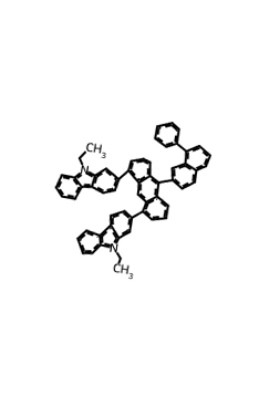 CCn1c2ccccc2c2ccc(-c3cccc4c(-c5ccc6cccc(-c7ccccc7)c6c5)c5cccc(-c6ccc7c8ccccc8n(CC)c7c6)c5cc34)cc21